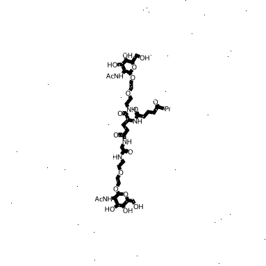 CC(=O)NC1C(OCCOCCNC(=O)CNC(=O)CCC(NC(=O)CCCC(=O)C(C)C)C(=O)NCCOCCOC2OC(CO)C(O)C(O)C2NC(C)=O)OC(CO)C(O)C1O